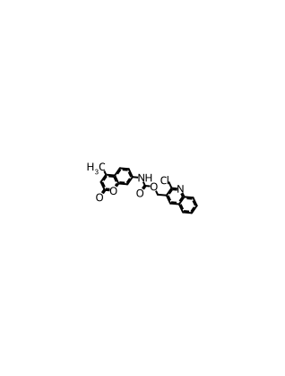 Cc1cc(=O)oc2cc(NC(=O)OCc3cc4ccccc4nc3Cl)ccc12